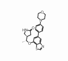 C[C@@H](Oc1cc(-c2ccc(N3CCOCC3)cc2)cc2ncsc12)[C@H]1CNC(=O)C1